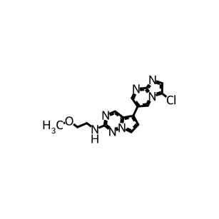 COCCNc1ncc2c(-c3cnc4ncc(Cl)n4c3)ccn2n1